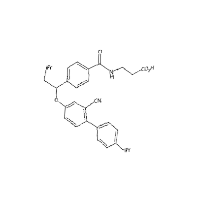 CC(C)CC(Oc1ccc(-c2ccc(C(C)C)cc2)c(C#N)c1)c1ccc(C(=O)NCCC(=O)O)cc1